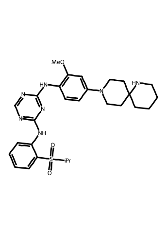 COc1cc(N2CCC3(CCCCN3)CC2)ccc1Nc1ncnc(Nc2ccccc2S(=O)(=O)C(C)C)n1